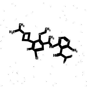 CCOc1c(C(C)Nc2ncnc(N)c2C(=N)C(F)F)cc(Cl)c(F)c1C1CN(C(C)C)C1